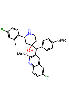 COc1nc2ccc(F)cc2cc1C(c1ccc(SC)cc1)C1(O)CCNC(c2ccc(F)cc2C)C1